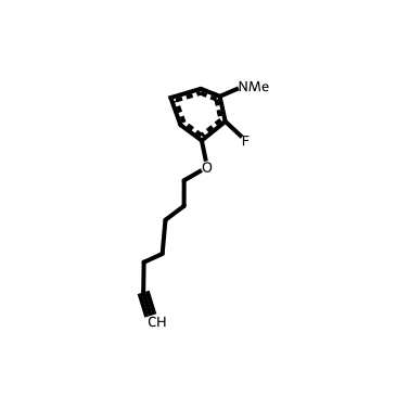 C#CCCCCCOc1cccc(NC)c1F